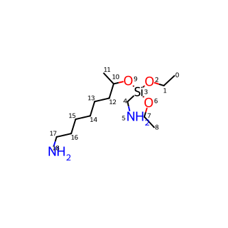 CCO[Si](CN)(OCC)OC(C)CCCCCCN